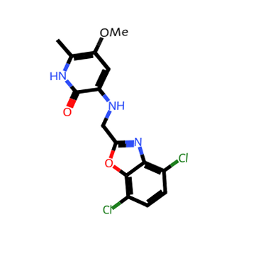 COc1cc(NCc2nc3c(Cl)ccc(Cl)c3o2)c(=O)[nH]c1C